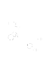 CCCC(CCCCn1cc(CC(N)=O)c2ccccc21)c1cccc(C)c1